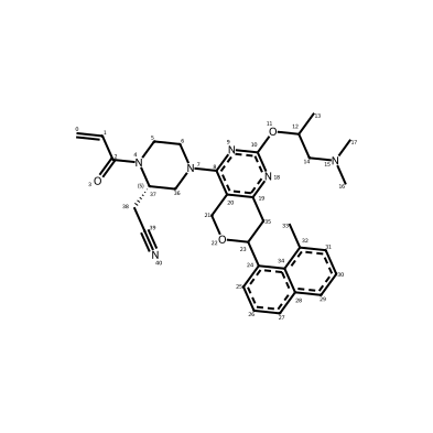 C=CC(=O)N1CCN(c2nc(OC(C)CN(C)C)nc3c2COC(c2cccc4cccc(C)c24)C3)C[C@@H]1CC#N